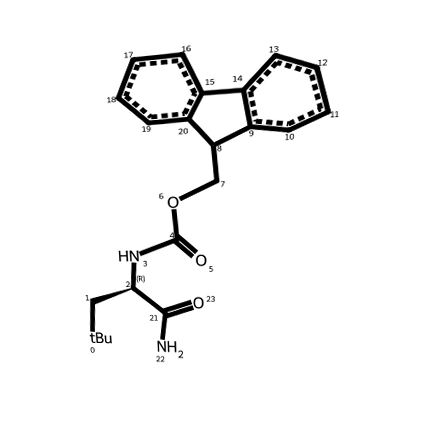 CC(C)(C)C[C@@H](NC(=O)OCC1c2ccccc2-c2ccccc21)C(N)=O